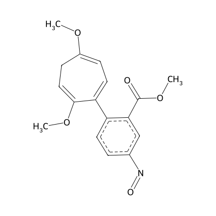 COC(=O)c1cc(N=O)ccc1C1=CC=C(OC)CC=C1OC